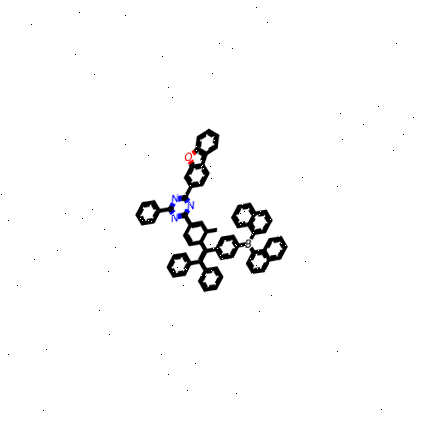 CC1C=C(c2nc(-c3ccccc3)nc(-c3ccc4c(c3)oc3ccccc34)n2)C=CC1C(=C(c1ccccc1)c1ccccc1)c1ccc(B(c2cccc3ccccc23)c2cccc3ccccc23)cc1